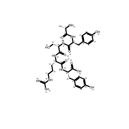 C[C@H](N)C(=O)N[C@@H](Cc1ccc(O)cc1)C(=O)N[C@@H](CO)C(=O)N[C@@H](CCCNC(=N)N)C(=O)N[C@@H](Cc1ccc(O)cc1)C(=O)O